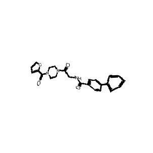 O=C(NCC(=O)N1CCN(C(=O)c2ccco2)CC1)c1ccc(-c2ccccc2)cc1